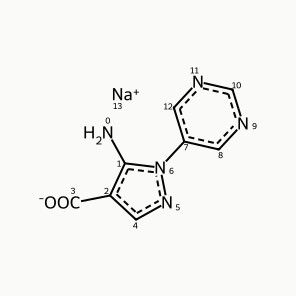 Nc1c(C(=O)[O-])cnn1-c1cncnc1.[Na+]